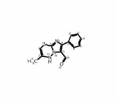 CC1=CSc2nc(-c3ccccc3)c(C=O)n2N1